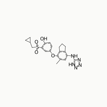 Cc1cc(Nc2nnn[nH]2)c2c(c1Oc1ccc(O)c(S(=O)(=O)CC3CC3)c1)CCC2